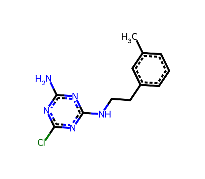 Cc1cccc(CCNc2nc(N)nc(Cl)n2)c1